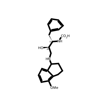 COc1cccc2c1CCCC2NC[C@@H](O)[C@H](Cc1ccccc1)NC(=O)O